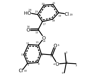 CC(C)(C)OC(=O)c1cc(Cl)ccc1OC(=O)c1cc(Cl)ccc1O